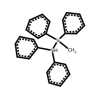 C[Si](c1ccccc1)(c1ccccc1)[SiH](c1ccccc1)c1ccccc1